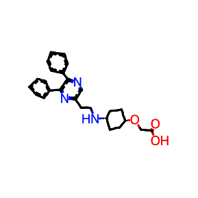 O=C(O)CO[C@H]1CC[C@@H](NCCc2cnc(-c3ccccc3)c(-c3ccccc3)n2)CC1